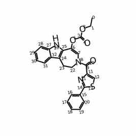 CCOC(=O)OC1=CN(C(=O)c2csc(-c3ccccc3)n2)CCc2c1[nH]c1ccccc21